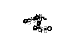 CCCc1nc2c(C)cc(C(=O)N[C@@H](CS)Cc3ccccc3)cc2n1Cc1ccc(-c2ccccc2C(=O)OC(C)OC(=O)OC2CCCCC2)cc1